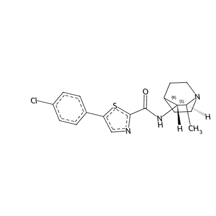 C[C@H]1[C@H](NC(=O)c2ncc(-c3ccc(Cl)cc3)s2)C2CCN1CC2